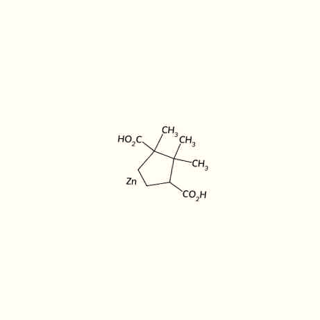 CC1(C(=O)O)CCC(C(=O)O)C1(C)C.[Zn]